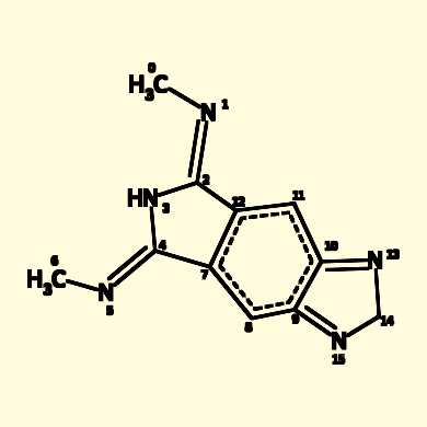 C/N=C1\N/C(=N\C)c2cc3c(cc21)=NCN=3